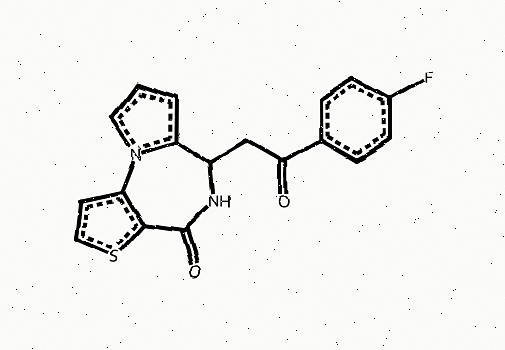 O=C(CC1NC(=O)c2sccc2-n2cccc21)c1ccc(F)cc1